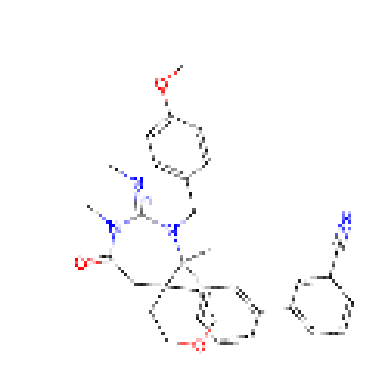 C/N=C1\N(C)C(=O)CC2(CCOCC2)C(C)(c2cccc(-c3cccc(C#N)c3)c2)N1Cc1ccc(OC)cc1